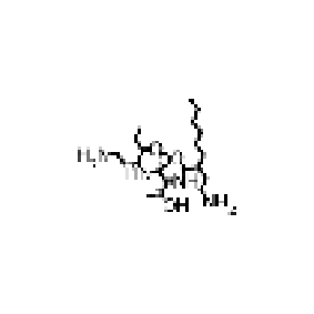 CCCCCCC(CCN)C(=O)N[C@H](C(=O)N[C@@H](CCN)C(=O)CC)[C@H](C)O